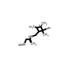 C=C(CNC)NCC1C(C)[C@@H](C)C1(C)CCC